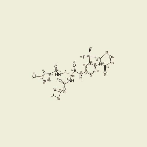 O=C(N[C@H](CNC(=O)c1ccc(Cl)s1)C(=O)Nc1ccc(N2CCOCC2=O)c(C(F)(F)F)c1)OC1CCC1